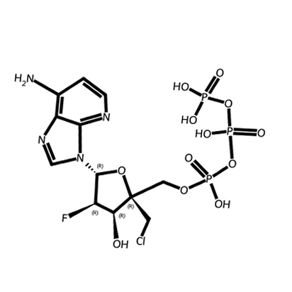 Nc1ccnc2c1ncn2[C@@H]1O[C@](CCl)(COP(=O)(O)OP(=O)(O)OP(=O)(O)O)[C@@H](O)[C@H]1F